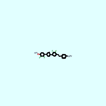 CCCOc1ccc(-c2ccc(-c3ccc(CCc4ccc(CCC)cc4)c(F)c3F)cc2)c(F)c1F